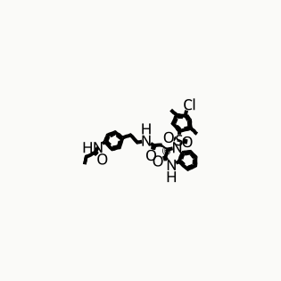 CCC(=O)Nc1ccc(CCNC(=O)C[C@@H]2C(=O)Nc3ccccc3N2S(=O)(=O)c2cc(C)c(Cl)cc2C)cc1